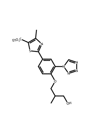 CCOC(=O)c1sc(-c2ccc(OCC(C)CO)c(-n3cnnn3)c2)nc1C